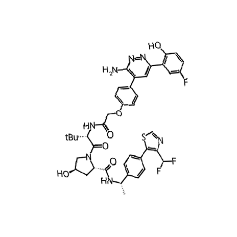 C[C@H](NC(=O)[C@@H]1C[C@@H](O)CN1C(=O)[C@@H](NC(=O)COc1ccc(-c2cc(-c3cc(F)ccc3O)nnc2N)cc1)C(C)(C)C)c1ccc(-c2scnc2C(F)F)cc1